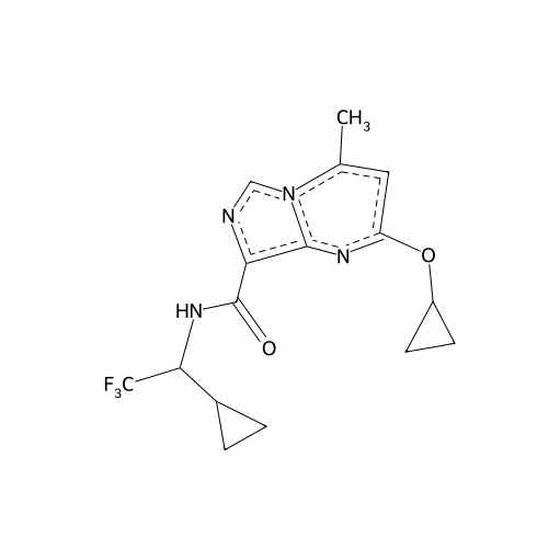 Cc1cc(OC2CC2)nc2c(C(=O)NC(C3CC3)C(F)(F)F)ncn12